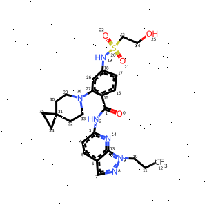 O=C(Nc1ccc2cnn(CCC(F)(F)F)c2n1)c1ccc(NS(=O)(=O)CCO)cc1N1CCC2(CC1)CC2